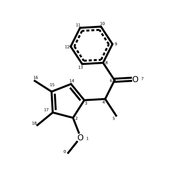 COC1C(C(C)C(=O)c2ccccc2)=CC(C)=C1C